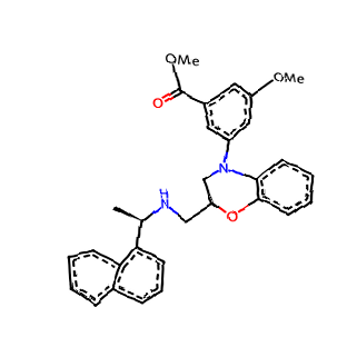 COC(=O)c1cc(OC)cc(N2CC(CN[C@H](C)c3cccc4ccccc34)Oc3ccccc32)c1